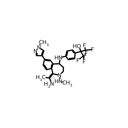 CNN1CCC(Nc2ccc(C(O)(C(F)(F)F)C(F)(F)F)cc2)c2cc(-c3cnn(C)c3)ccc2/C1=C(\C)N